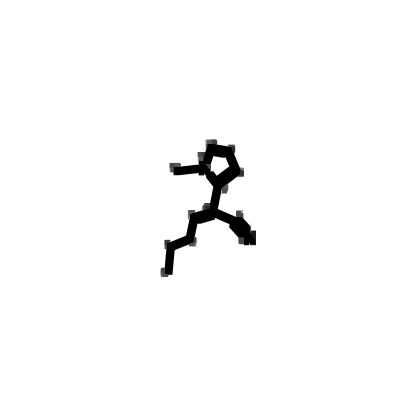 CCC/C=C(\C#N)c1cccn1C